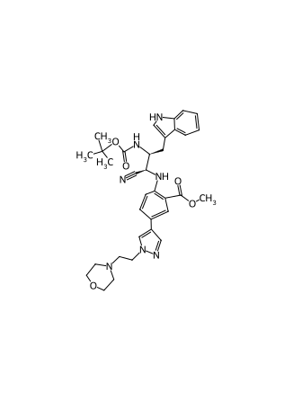 COC(=O)c1cc(-c2cnn(CCN3CCOCC3)c2)ccc1N[C@@H](C#N)[C@H](Cc1c[nH]c2ccccc12)NC(=O)OC(C)(C)C